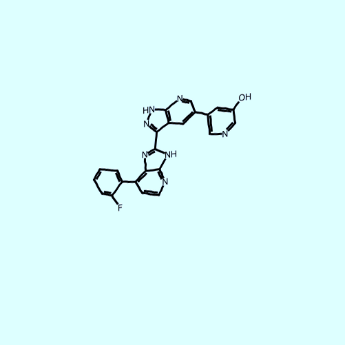 Oc1cncc(-c2cnc3[nH]nc(-c4nc5c(-c6ccccc6F)ccnc5[nH]4)c3c2)c1